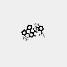 CCc1cccc(CC)c1NC(=O)c1c(-c2ccccc2Cl)n(-c2ccccc2Cl)c(C)cc1=O